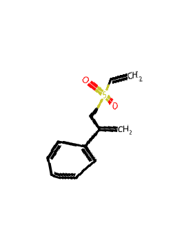 C=CS(=O)(=O)CC(=C)c1ccccc1